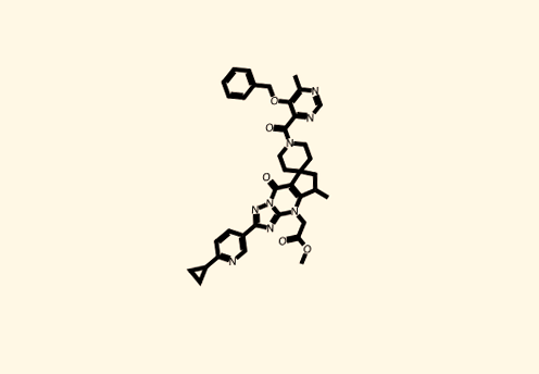 COC(=O)Cn1c2c(c(=O)n3nc(-c4ccc(C5CC5)nc4)nc13)C1(CCN(C(=O)c3ncnc(C)c3OCc3ccccc3)CC1)CC2C